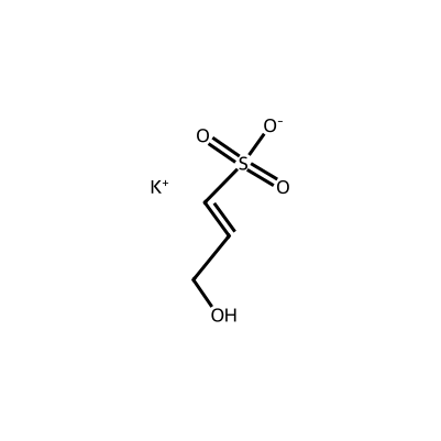 O=S(=O)([O-])C=CCO.[K+]